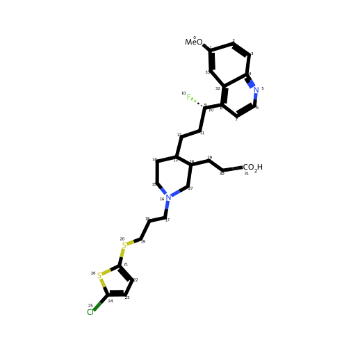 COc1ccc2nccc([C@@H](F)CCC3CCN(CCCSc4ccc(Cl)s4)CC3CCC(=O)O)c2c1